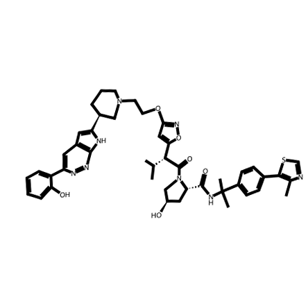 Cc1ncsc1-c1ccc(C(C)(C)NC(=O)[C@@H]2C[C@@H](O)CN2C(=O)[C@@H](c2cc(OCCN3CCC[C@H](c4cc5cc(-c6ccccc6O)nnc5[nH]4)C3)no2)C(C)C)cc1